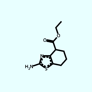 CCOC(=O)C1CCCc2sc(N)nc21